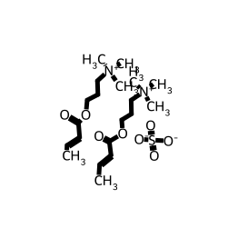 CC=CC(=O)OCCC[N+](C)(C)C.CC=CC(=O)OCCC[N+](C)(C)C.O=S(=O)([O-])[O-]